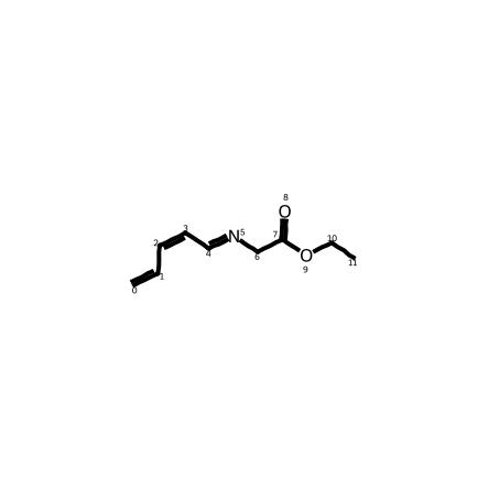 C=C/C=C\C=N\CC(=O)OCC